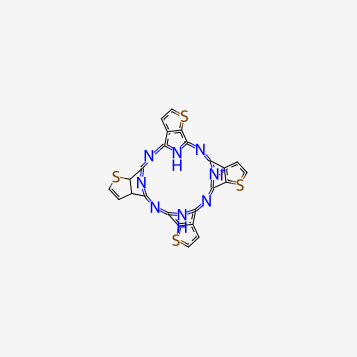 I[n+]1c2nc3[nH]c(nc4nc(nc5[nH]c(nc1-c1sccc1-2)c1ccsc51)C1C=CSC41)c1ccsc31